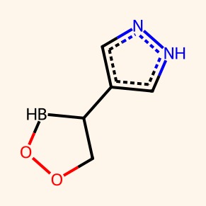 B1OOCC1c1cn[nH]c1